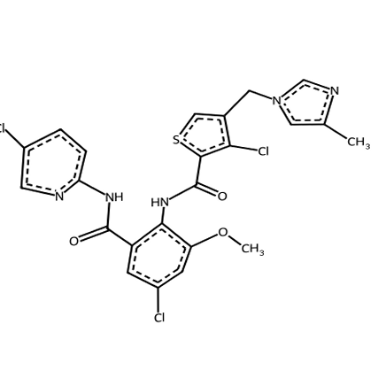 COc1cc(Cl)cc(C(=O)Nc2ccc(Cl)cn2)c1NC(=O)c1scc(Cn2cnc(C)c2)c1Cl